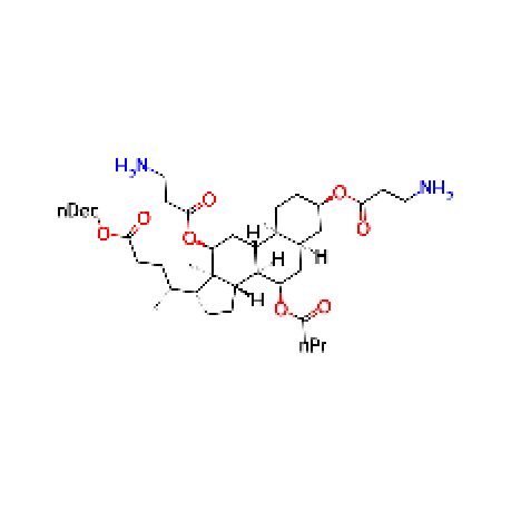 CCCCCCCCCCOC(=O)CC[C@@H](C)[C@H]1CC[C@H]2[C@@H]3[C@H](OC(=O)CCC)C[C@@H]4C[C@H](OC(=O)CCN)CC[C@]4(C)[C@H]3C[C@H](OC(=O)CCN)[C@]12C